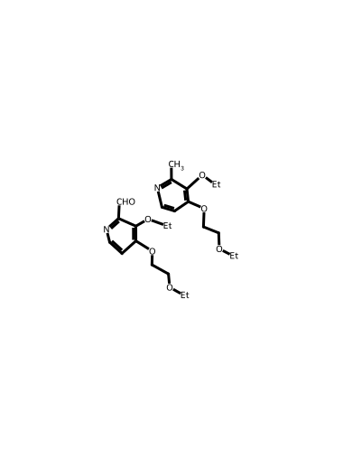 CCOCCOc1ccnc(C)c1OCC.CCOCCOc1ccnc(C=O)c1OCC